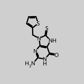 Nc1nc2c([nH]c(=S)n2Cc2cccs2)c(=O)[nH]1